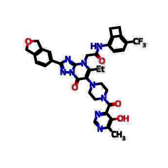 CCc1c(N2CCN(C(=O)c3ncnc(C)c3O)CC2)c(=O)n2nc(-c3ccc4c(c3)COC4)nc2n1CC(=O)Nc1ccc(C(F)(F)F)c2c1CC2